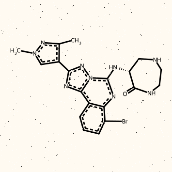 Cc1nn(C)cc1-c1nc2c3cccc(Br)c3nc(N[C@@H]3CNCCNC3=O)n2n1